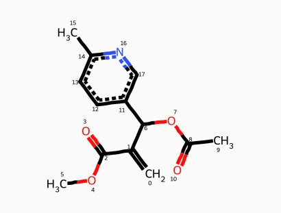 C=C(C(=O)OC)C(OC(C)=O)c1ccc(C)nc1